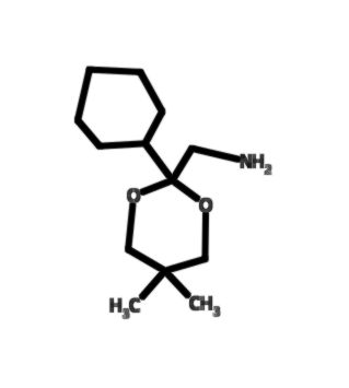 CC1(C)COC(CN)(C2CCCCC2)OC1